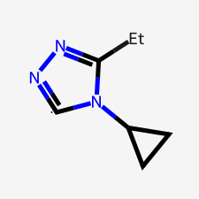 CCc1nn[c]n1C1CC1